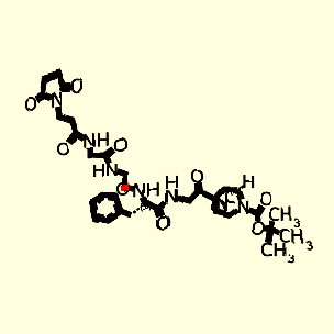 CC(C)(C)OC(=O)N1CC2CC[C@@H]1CN2C(=O)CNC(=O)[C@H](Cc1ccccc1)NC(=O)CNC(=O)CNC(=O)CCN1C(=O)C=CC1=O